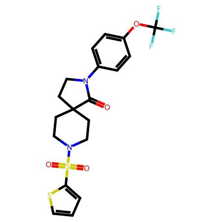 O=C1N(c2ccc(OC(F)(F)F)cc2)CCC12CCN(S(=O)(=O)c1cccs1)CC2